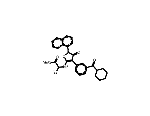 CCC(NC1=C(c2cccc(C(=O)C3CCCCC3)c2)C(=O)C(c2cccc3ccccc23)O1)C(=O)OC